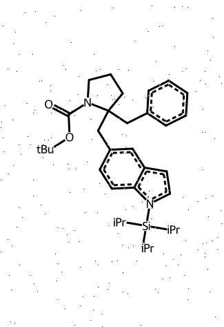 CC(C)[Si](C(C)C)(C(C)C)n1ccc2cc(CC3(Cc4ccccc4)CCCN3C(=O)OC(C)(C)C)ccc21